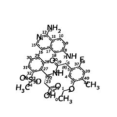 CCOc1cc([C@@H](Nc2ccc3c(N)nccc3c2)C(=O)N[C@H](CC(=O)O)c2ccccc2S(C)(=O)=O)c(F)cc1C